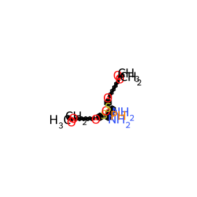 C=C(C)C(=O)OCCCCCCCCCCOc1ccc(Sc2ccc(N)c3c2C(=O)c2c(Sc4ccc(OCCCCCCCCCCOC(=O)C(=C)C)cc4)ccc(N)c2C3=P)cc1